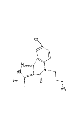 Cc1[nH]nc2c1c(=O)n(CCCN)c1ccc(Cl)cc21.Cl